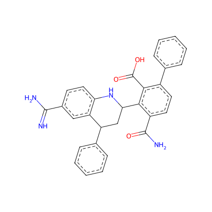 N=C(N)c1ccc2c(c1)C(c1ccccc1)CC(c1c(C(N)=O)ccc(-c3ccccc3)c1C(=O)O)N2